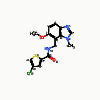 COc1ccc2ncn(C)c2c1CNC(=O)c1cc(Cl)cs1